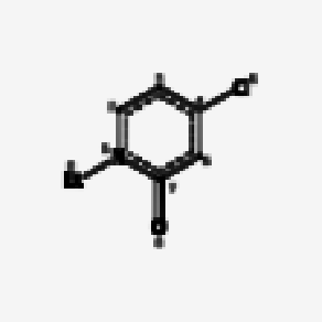 CCn1ccc(Cl)cc1=O